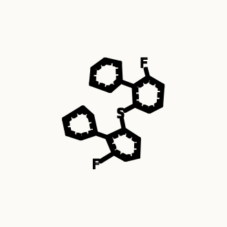 Fc1cccc(Sc2cccc(F)c2-c2ccccc2)c1-c1ccccc1